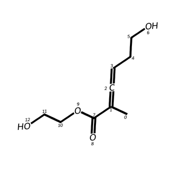 CC(=C=CCCO)C(=O)OCCO